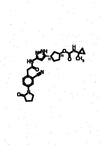 CC1(NC(=O)O[C@H]2CC[C@H](c3cc(NC(=O)Cc4ccc(N5CCCC5=O)cc4C#N)n[nH]3)C2)CC1